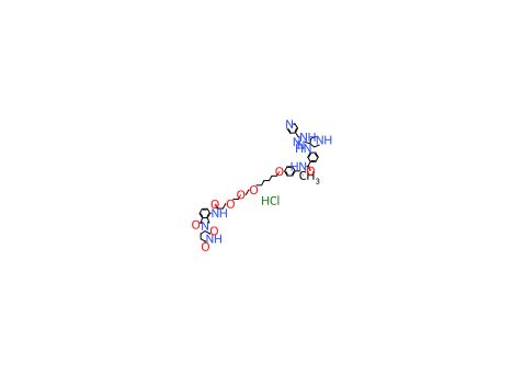 C[C@@H](NC(=O)c1cccc(NC2(c3nnc(-c4ccncc4)[nH]3)CCNCC2)c1)c1ccc(OCCCCCCOCCOCCOCCC(=O)Nc2cccc3c2CN(C2CCC(=O)NC2=O)C3=O)cc1.Cl